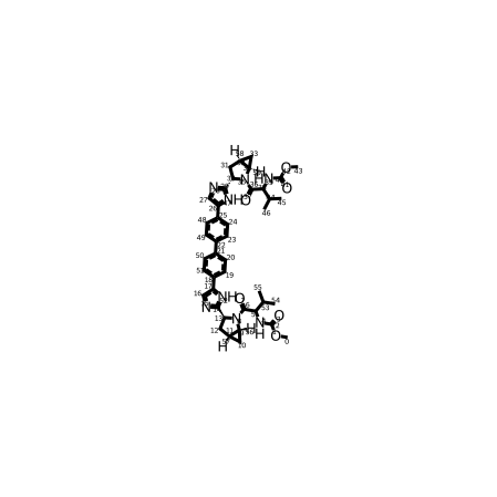 COC(=O)NC(C(=O)N1[C@@H]2C[C@@H]2C[C@H]1c1ncc(-c2ccc(-c3ccc(-c4cnc([C@@H]5C[C@H]6C[C@H]6N5C(=O)C(NC(=O)OC)C(C)C)[nH]4)cc3)cc2)[nH]1)C(C)C